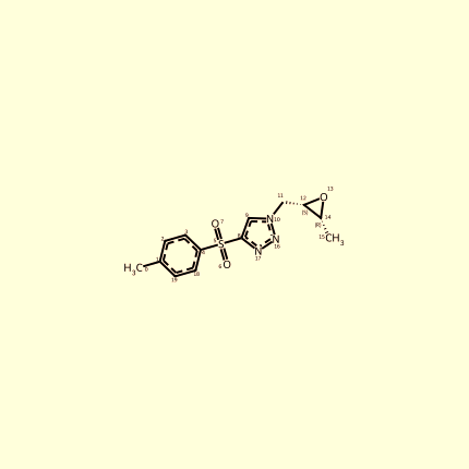 Cc1ccc(S(=O)(=O)c2cn(C[C@@H]3O[C@@H]3C)nn2)cc1